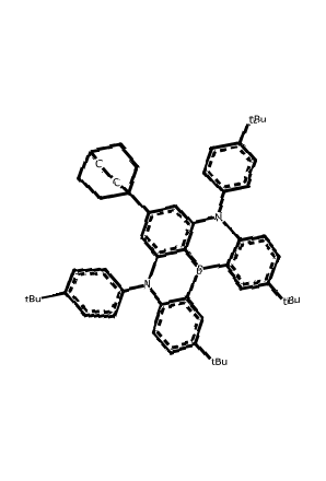 CC(C)(C)c1ccc(N2c3ccc(C(C)(C)C)cc3B3c4cc(C(C)(C)C)ccc4N(c4ccc(C(C)(C)C)cc4)c4cc(C56CCC(CC5)CC6)cc2c43)cc1